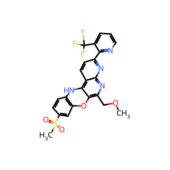 COCc1nc2nc(-c3ncccc3C(F)(F)F)ccc2c2c1Oc1cc(S(C)(=O)=O)ccc1N2